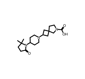 CC1(C)CCC(=O)N1C1CCN(C2CC3(CCN(C(=O)O)C3)C2)CC1